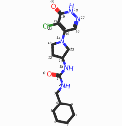 O=C(NCC1CCCCC1)NC1CCN(c2cn[nH]c(=O)c2Cl)C1